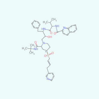 CC(C)C(NC(=O)c1ccc2ccccc2n1)C(=O)NC(Cc1ccccc1)C(O)CN1CC[C@@H](S(=O)(=O)CC=CCc2cccnc2)CC1C(=O)NC(C)(C)C